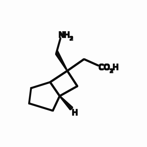 NC[C@@]1(CC(=O)O)C[C@@H]2CCCC21